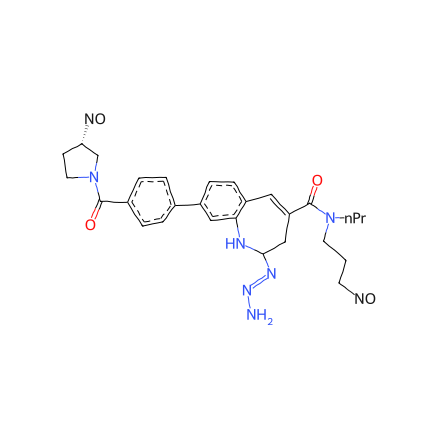 CCCN(CCCN=O)C(=O)C1=Cc2ccc(-c3ccc(C(=O)N4CC[C@H](N=O)C4)cc3)cc2NC(N=NN)C1